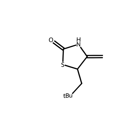 C=C1NC(=O)SC1CC(C)(C)C